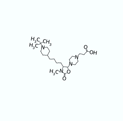 CN1C(=O)OC(N2CCN(CCC(=O)O)CC2)C1CCCCC1CCN(C(C)(C)C)CC1